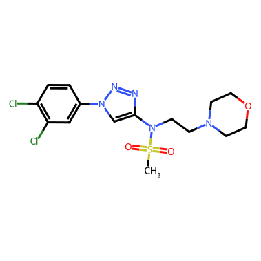 CS(=O)(=O)N(CCN1CCOCC1)c1cn(-c2ccc(Cl)c(Cl)c2)nn1